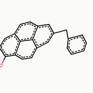 [O]c1ccc2ccc3cc(Cc4ccccc4)cc4ccc1c2c34